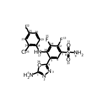 Nc1nnc(-c2cc(S(N)(=O)=O)c(F)c(F)c2Nc2ccc(I)cc2Cl)o1